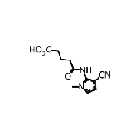 Cn1ccc(C#N)c1NC(=O)CCCC(=O)O